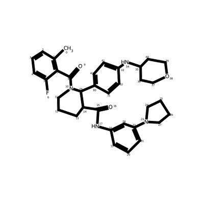 Cc1cccc(F)c1C(=O)N1CCCC(C(=O)Nc2cccc(N3CCCC3)c2)C1c1ccc(NC2CCOCC2)cc1